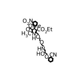 CCOC(=O)C1=C(COCCOCCNCC(O)COc2ccccc2C#N)NC(C)=C(C(=O)OC)C1c1cccc([N+](=O)[O-])c1